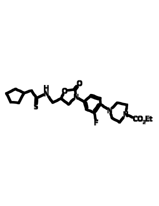 CCOC(=O)N1CCN(c2ccc(N3CC(CNC(=S)CC4CCCC4)OC3=O)cc2F)CC1